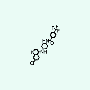 O=C(NC1CCC(Nc2ccnc3cc(Cl)ccc23)CC1)c1ccc(C(F)(F)F)cc1